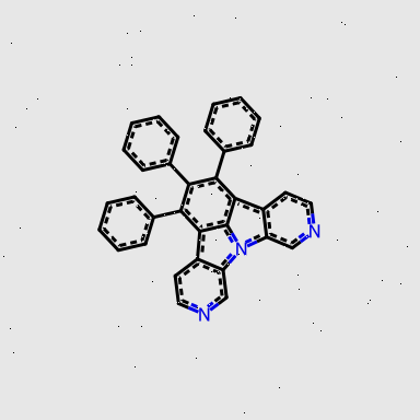 c1ccc(-c2c(-c3ccccc3)c3c4ccncc4n4c5cnccc5c(c2-c2ccccc2)c34)cc1